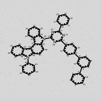 c1ccc(-c2cccc(-c3ccc(-c4nc(-c5ccccc5)nc(-n5c6ccccc6c6c7c8ccccc8n(-c8ccccc8)c7ccc65)n4)cc3)c2)cc1